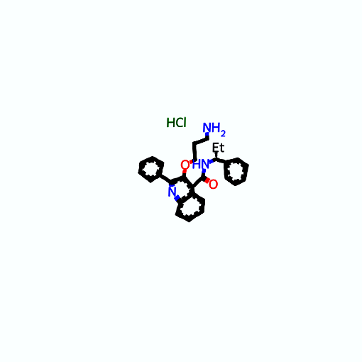 CC[C@H](NC(=O)c1c(OCCCN)c(-c2ccccc2)nc2ccccc12)c1ccccc1.Cl